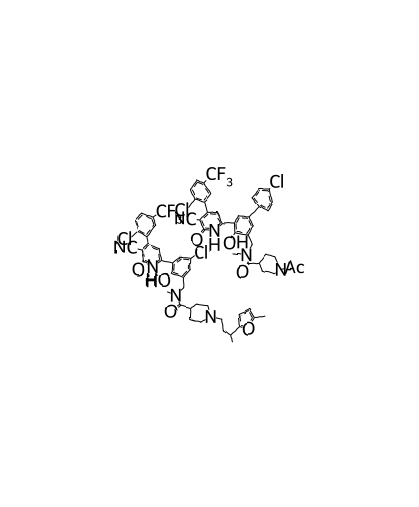 CC(=O)N1CCC(C(=O)N(C)Cc2cc(-c3ccc(Cl)cc3)cc(-c3cc(-c4cc(C(F)(F)F)ccc4Cl)c(C#N)c(=O)[nH]3)c2O)CC1.Cc1ccc(C(C)CCN2CCC(C(=O)N(C)Cc3cc(Cl)cc(-c4cc(-c5cc(C(F)(F)F)ccc5Cl)c(C#N)c(=O)[nH]4)c3O)CC2)o1